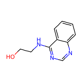 OCCNc1ncnc2ccccc12